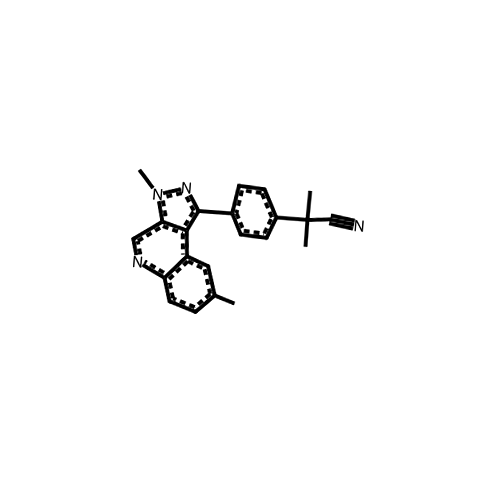 Cc1ccc2ncc3c(c(-c4ccc(C(C)(C)C#N)cc4)nn3C)c2c1